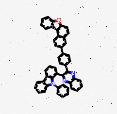 c1ccc(-n2c3ccccc3c3cccc(-c4nc5ccccc5nc4-c4ccc(-c5ccc6c(ccc7oc8ccccc8c76)c5)cc4)c32)cc1